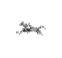 Cc1ccc(N(c2ccc(C)cc2)c2ccc3c(c2)C2(c4cc(C#N)ccc4-c4cc(Cc5ccc(S(=O)(=O)c6cc(-n7c8ccccc8c8cc(-n9c%10ccccc%10c%10ccccc%109)ccc87)cc(S(=O)(=O)c7ccc(C)cc7)c6)cc5)c(C#N)cc42)c2cc(N(c4ccc(C)cc4)c4ccc(C)cc4)ccc2-3)cc1